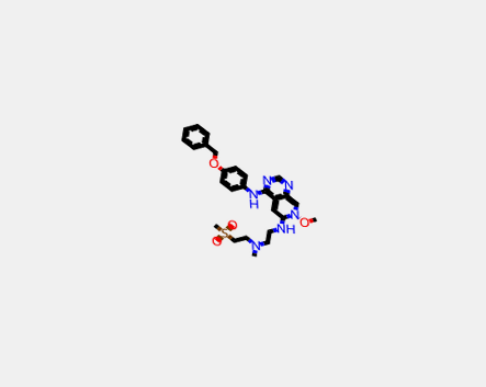 CON1C=c2ncnc(Nc3ccc(OCc4ccccc4)cc3)c2=CC1NCCN(C)CCS(C)(=O)=O